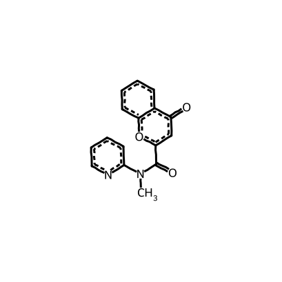 CN(C(=O)c1cc(=O)c2ccccc2o1)c1ccccn1